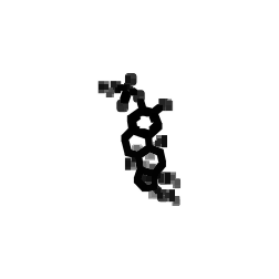 CCc1cc2c(cc1OS(N)(=O)=O)CC[C@@H]1[C@@H]2CC[C@]2(C)[C@@H](C)CC[C@@H]12